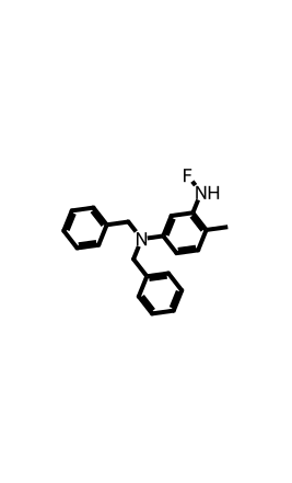 Cc1ccc(N(Cc2ccccc2)Cc2ccccc2)cc1NF